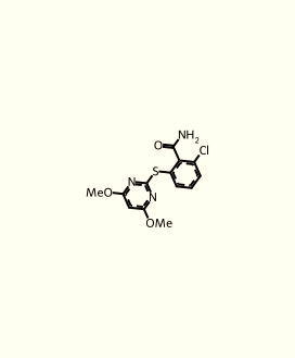 COc1cc(OC)nc(Sc2cccc(Cl)c2C(N)=O)n1